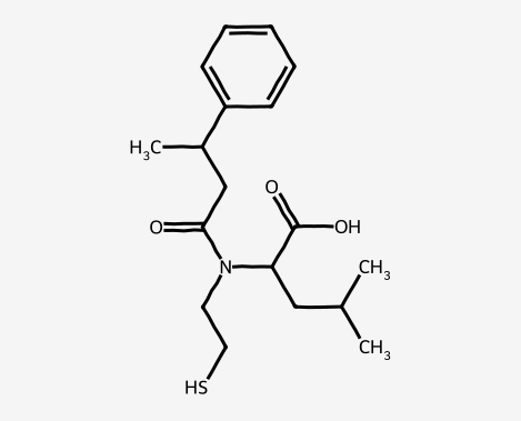 CC(C)CC(C(=O)O)N(CCS)C(=O)CC(C)c1ccccc1